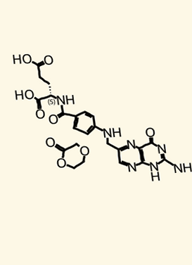 Nc1nc(=O)c2nc(CNc3ccc(C(=O)N[C@@H](CCC(=O)O)C(=O)O)cc3)cnc2[nH]1.O=C1COCCO1